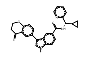 O=C(N[C@H](c1ccccn1)C1CC1)c1ccc2[nH]nc(-c3ccc4c(c3)C(=O)CCO4)c2c1